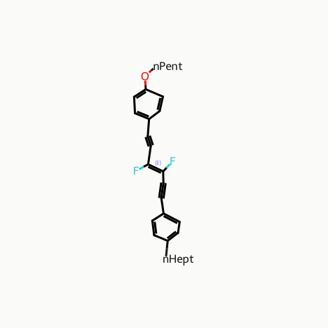 CCCCCCCc1ccc(C#C/C(F)=C(\F)C#Cc2ccc(OCCCCC)cc2)cc1